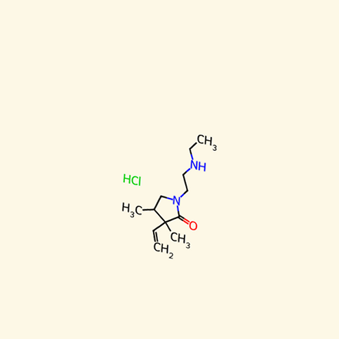 C=CC1(C)C(=O)N(CCNCC)CC1C.Cl